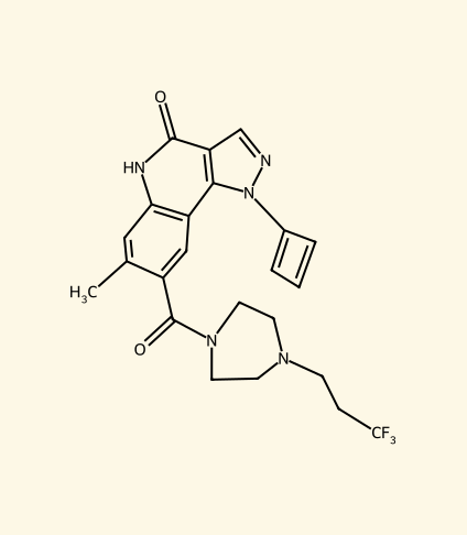 Cc1cc2[nH]c(=O)c3cnn(C4=CC=C4)c3c2cc1C(=O)N1CCN(CCC(F)(F)F)CC1